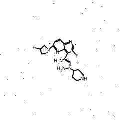 N/C(=C\N(N)C1CCNCC1)c1c(F)cnc2ccc(N3CCC(F)C3)nc12